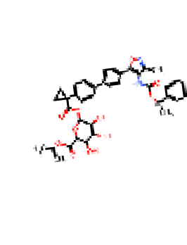 C=C(C)OC(=O)C1OC(OC(=O)C2(c3ccc(-c4ccc(-c5onc(C)c5NC(=O)O[C@H](C)c5ccccc5)cc4)cc3)CC2)C(O)C(O)C1O